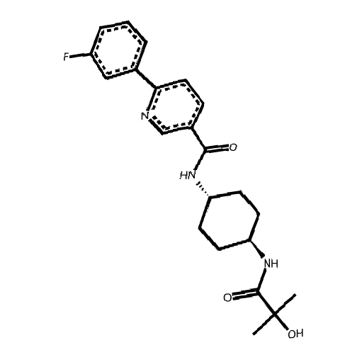 CC(C)(O)C(=O)N[C@H]1CC[C@H](NC(=O)c2ccc(-c3cccc(F)c3)nc2)CC1